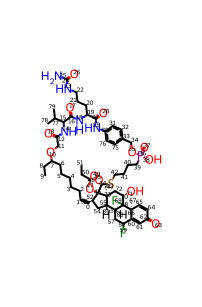 C=CCCCCCC(CC)OCC(=O)NC(C(=O)NC(CCCNC(N)=O)C(=O)Nc1ccc(COP(=O)(O)CCCCSC(=O)[C@@]2(OC(=O)CC)[C@H](C)C[C@H]3[C@@H]4C[C@H](F)C5=CC(=O)C=C[C@]5(C)[C@@]4(F)[C@@H](O)C[C@@]32C)cc1)C(C)C